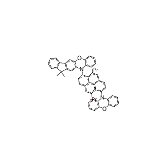 CC(C)c1cc2ccc(N3c4ccccc4Oc4cc5c(cc43)C(C)(C)c3ccccc3-5)c3c(C(C)C)cc4ccc(N5c6ccccc6Oc6ccccc65)c1c4c23